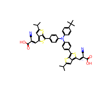 CC(C)c1cc2c(/C=C(\C#N)C(=O)O)sc(-c3ccc(N(c4ccc(-c5sc(/C=C(\C#N)C(=O)O)c6cc(C(C)C)sc56)cc4)c4ccc(C(C)(C)C)cc4)cc3)c2s1